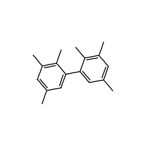 Cc1[c]c(C)c(C)c(-c2cc(C)cc(C)c2C)c1